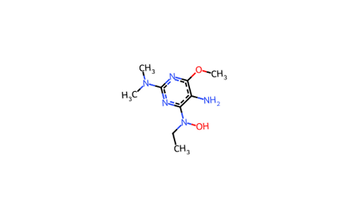 CCN(O)c1nc(N(C)C)nc(OC)c1N